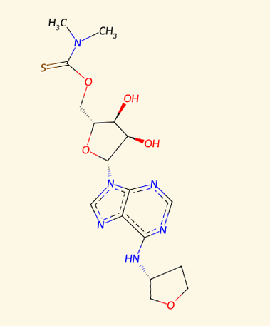 CN(C)C(=S)OC[C@H]1O[C@@H](n2cnc3c(N[C@@H]4CCOC4)ncnc32)[C@H](O)[C@@H]1O